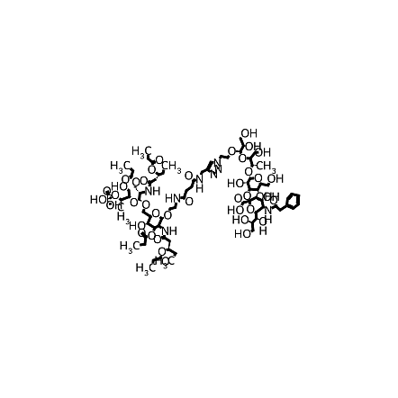 CCC(=O)OC[C@H](NC(=O)C[C@@H](CC)OC(=O)CC)[C@H](OCC1O[C@@H](OCCNC(=O)CCC(=O)NCc2cn(CCO[C@H](OC(CO)[C@H](C)O[C@@H]3OC(CO)[C@H](O)C(O[C@]4(C(=O)O)C[C@@H](O)[C@@H](NC(=O)Cc5ccccc5)C([C@H](O)[C@H](O)CO)O4)[C@@H]3O)[C@@H](O)CO)nn2)C(NC(=O)C[C@@H](CC)OC(=O)CC)C(OC(=O)CC)[C@@H]1O)OC(CO)[C@H](C)OP(=O)(O)O